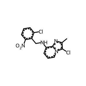 Cc1nc2c(NCc3c(Cl)cccc3[N+](=O)[O-])cccn2c1Cl